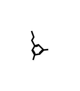 CCCc1cc(C)[c]c(C)c1